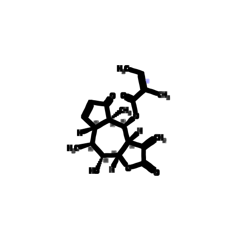 C=C1C(=O)O[C@@H]2[C@H](O)[C@@H](C)[C@@H]3C=CC(=O)[C@@]3(C)[C@@H](OC(=O)/C(C)=C\C)[C@H]12